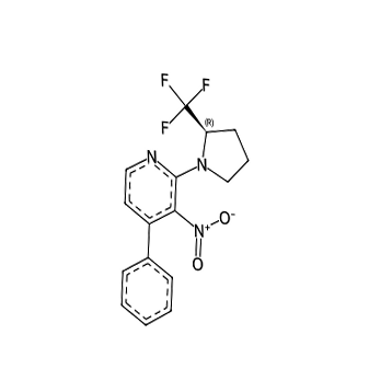 O=[N+]([O-])c1c(-c2ccccc2)ccnc1N1CCC[C@@H]1C(F)(F)F